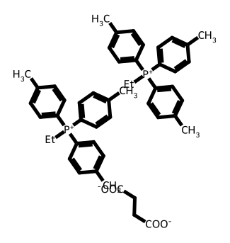 CC[P+](c1ccc(C)cc1)(c1ccc(C)cc1)c1ccc(C)cc1.CC[P+](c1ccc(C)cc1)(c1ccc(C)cc1)c1ccc(C)cc1.O=C([O-])CCC(=O)[O-]